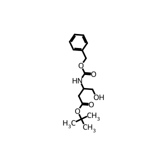 CC(C)(C)OC(=O)CC(CO)NC(=O)OCc1ccccc1